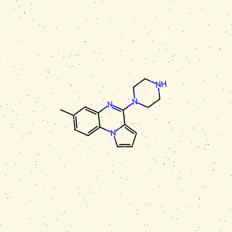 Cc1ccc2c(c1)nc(N1CCNCC1)c1cccn12